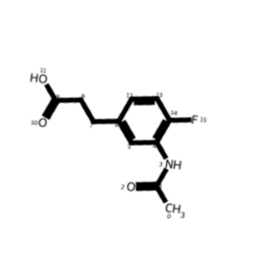 CC(=O)Nc1cc(CCC(=O)O)ccc1F